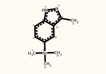 Cc1n[nH]c2cc[c]([Sn]([CH3])([CH3])[CH3])cc12